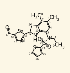 CCN(c1cc(C)c(C)c2c1NC(c1ncc(C=O)s1)C2)S(=O)(=O)c1cccs1